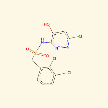 O=S(=O)(Cc1cccc(Cl)c1Cl)Nc1nnc(Cl)cc1O